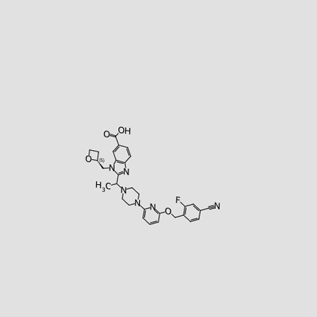 CC(c1nc2ccc(C(=O)O)cc2n1C[C@@H]1CCO1)N1CCN(c2cccc(OCc3ccc(C#N)cc3F)n2)CC1